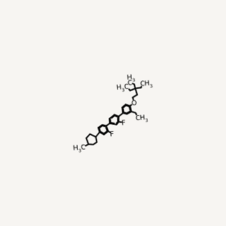 CCc1cc(-c2ccc(-c3ccc(C4CCC(C)CC4)cc3F)cc2F)ccc1OCCC(CC)(CC)CC